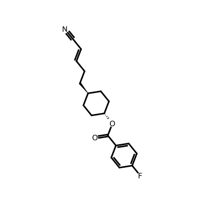 N#CC=CCC[C@H]1CC[C@H](OC(=O)c2ccc(F)cc2)CC1